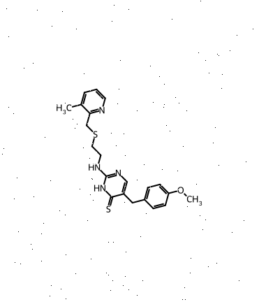 COc1ccc(Cc2cnc(NCCSCc3ncccc3C)[nH]c2=S)cc1